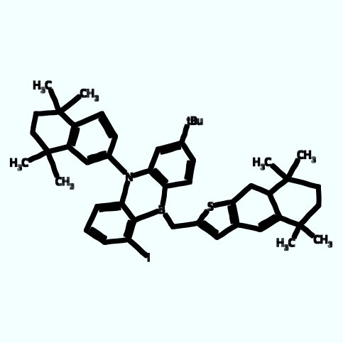 CC1(C)CCC(C)(C)C2Cc3sc(CB4c5ccc(C(C)(C)C)cc5N(c5ccc6c(c5)C(C)(C)CCC6(C)C)c5cccc(I)c54)cc3C=C21